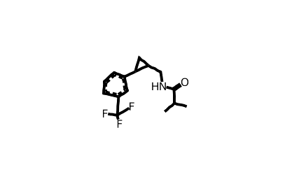 CC(C)C(=O)NCC1CC1c1cccc(C(F)(F)F)c1